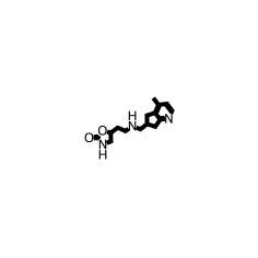 Cc1ccnc2c1CC(CNCCC1CNC(=O)O1)C2